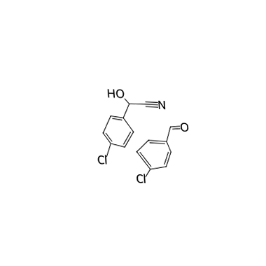 N#CC(O)c1ccc(Cl)cc1.O=Cc1ccc(Cl)cc1